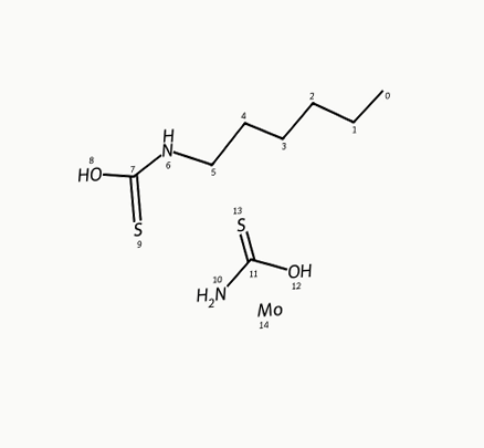 CCCCCCNC(O)=S.NC(O)=S.[Mo]